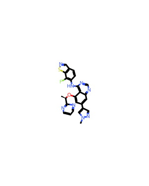 C[C@@H](Oc1cc(-c2cnn(C)c2)cc2ncnc(Nc3ccc4cnsc4c3F)c12)c1ncccn1